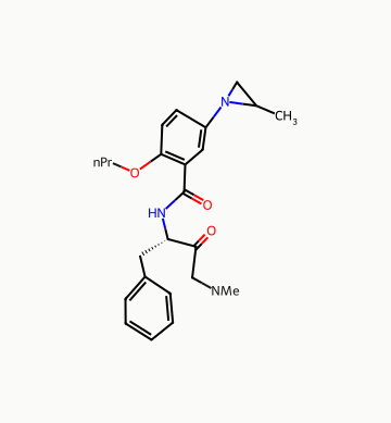 CCCOc1ccc(N2CC2C)cc1C(=O)N[C@@H](Cc1ccccc1)C(=O)CNC